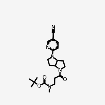 CN(CCC(=O)N1CCC2C1CCN2c1ccc(C#N)cn1)C(=O)OC(C)(C)C